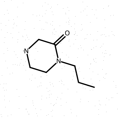 CCCN1CC[N]CC1=O